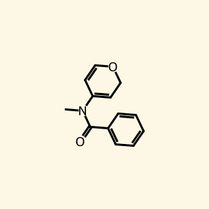 CN(C(=O)c1ccccc1)C1=CCOC=C1